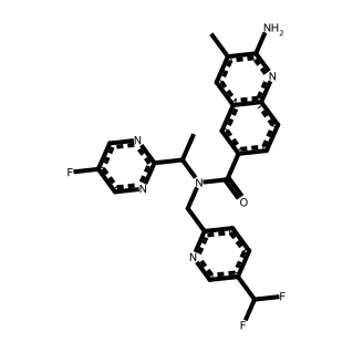 Cc1cc2cc(C(=O)N(Cc3ccc(C(F)F)cn3)C(C)c3ncc(F)cn3)ccc2nc1N